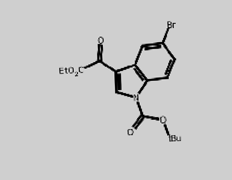 CCOC(=O)C(=O)c1cn(C(=O)OC(C)(C)C)c2ccc(Br)cc12